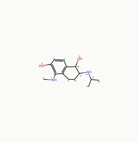 CNc1c(O)ccc2c1CCC(NC(C)C)C2O